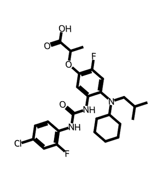 CC(C)CN(c1cc(F)c(OC(C)C(=O)O)cc1NC(=O)Nc1ccc(Cl)cc1F)C1CCCCC1